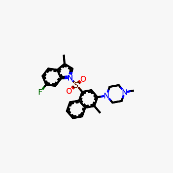 Cc1c(N2CCN(C)CC2)cc(S(=O)(=O)n2cc(C)c3ccc(F)cc32)c2ccccc12